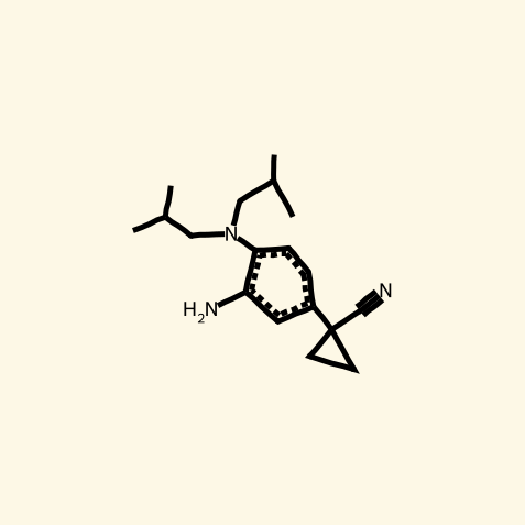 CC(C)CN(CC(C)C)c1ccc(C2(C#N)CC2)cc1N